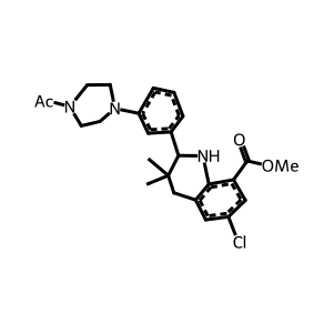 COC(=O)c1cc(Cl)cc2c1NC(c1cccc(N3CCN(C(C)=O)CC3)c1)C(C)(C)C2